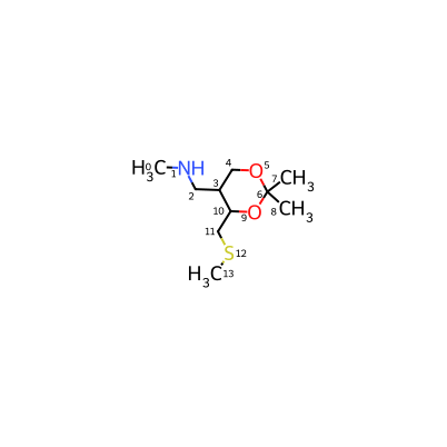 CNCC1COC(C)(C)OC1CSC